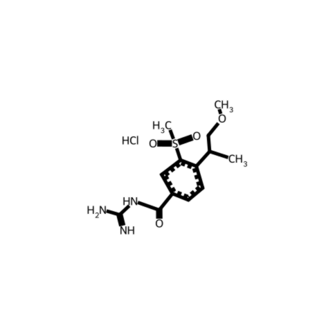 COCC(C)c1ccc(C(=O)NC(=N)N)cc1S(C)(=O)=O.Cl